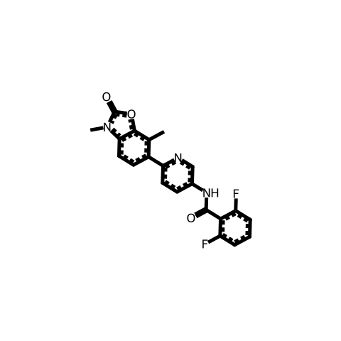 Cc1c(-c2ccc(NC(=O)c3c(F)cccc3F)cn2)ccc2c1oc(=O)n2C